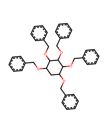 c1ccc(CO[C]2CC(OCc3ccccc3)C(OCc3ccccc3)C(OCc3ccccc3)C2OCc2ccccc2)cc1